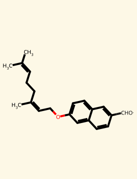 CC(C)=CCCC(C)=CCOc1ccc2cc([C]=O)ccc2c1